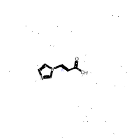 O=C(O)/C=C/n1ccnc1